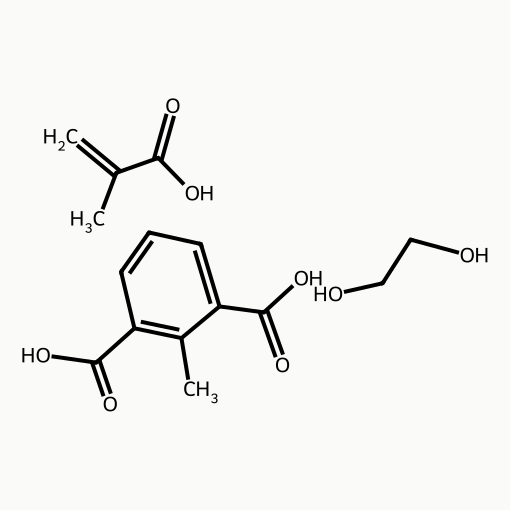 C=C(C)C(=O)O.Cc1c(C(=O)O)cccc1C(=O)O.OCCO